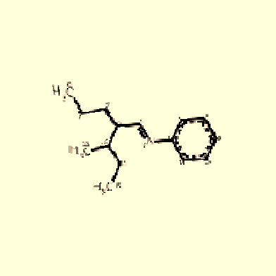 C[CH]CC(C=Nc1ccccc1)C(C)CC